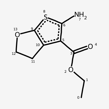 CCOC(=O)c1c(N)sc2c1CCO2